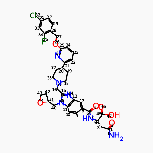 NC(=O)C[C@H](NC(=O)c1ccc2c(c1)nc(CN1CCC(c3cccc(OCc4ccc(Cl)cc4F)n3)CC1)n2CC1CCO1)C(=O)O